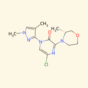 Cc1cn(C)nc1-n1cc(Cl)nc(N2CCOC[C@H]2C)c1=O